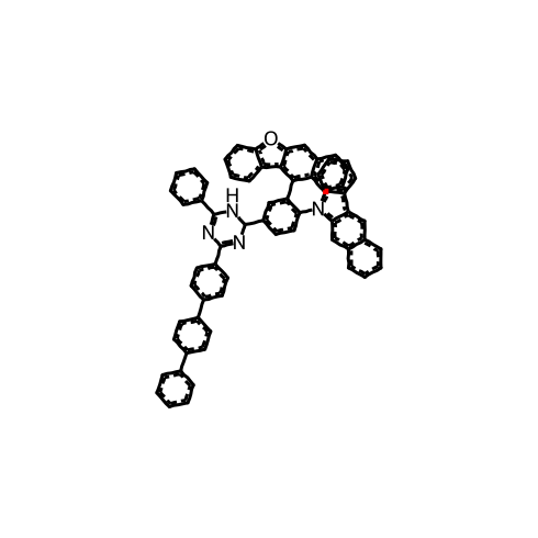 c1ccc(C2=NC(c3ccc(-c4ccc(-c5ccccc5)cc4)cc3)=NC(c3ccc(-n4c5ccccc5c5cc6ccccc6cc54)c(-c4c5ccccc5cc5oc6ccccc6c45)c3)N2)cc1